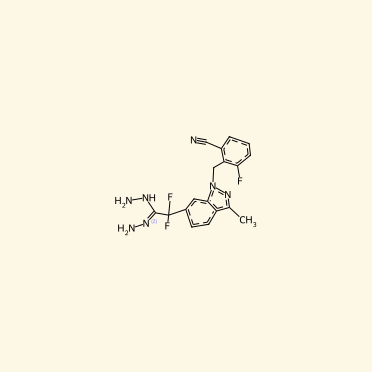 Cc1nn(Cc2c(F)cccc2C#N)c2cc(C(F)(F)/C(=N/N)NN)ccc12